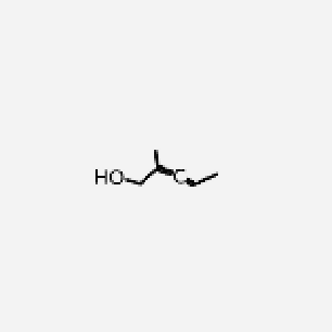 CC=C=C(C)CO